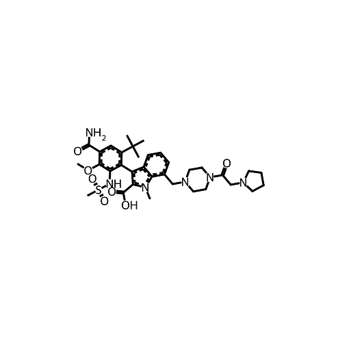 COc1c(C(N)=O)cc(C(C)(C)C)c(-c2c(C(=O)O)n(C)c3c(CN4CCN(C(=O)CN5CCCC5)CC4)cccc23)c1NS(C)(=O)=O